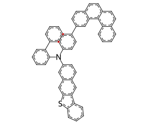 c1ccc(-c2ccccc2N(c2ccc(-c3ccc4ccc5ccc6ccccc6c5c4c3)cc2)c2ccc3cc4c(cc3c2)sc2ccccc24)cc1